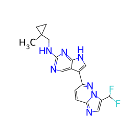 CC1(CNc2ncc3c(-c4ccc5ncc(C(F)F)n5n4)c[nH]c3n2)CC1